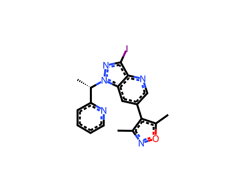 Cc1noc(C)c1-c1cnc2c(I)nn([C@@H](C)c3ccccn3)c2c1